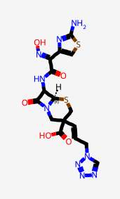 Nc1nc(C(=NO)C(=O)NC2C(=O)N3CC(C=CCn4cnnn4)(C(=O)O)CS[C@H]23)cs1